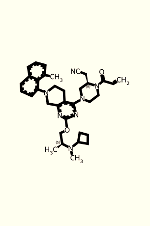 C=CC(=O)N1CCN(c2nc(OC[C@H](C)N(C)C3CCC3)nc3c2CCN(c2cccc4cccc(C)c24)C3)C[C@H]1CC#N